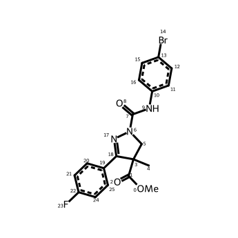 COC(=O)C1(C)CN(C(=O)Nc2ccc(Br)cc2)N=C1c1ccc(F)cc1